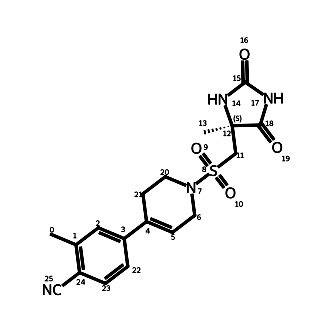 Cc1cc(C2=CCN(S(=O)(=O)C[C@@]3(C)NC(=O)NC3=O)CC2)ccc1C#N